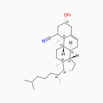 CC(C)CCC[C@@H](C)[C@H]1CC[C@H]2[C@@H]3CC=C4C[C@@H](O)CC(C#N)[C@]4(C)[C@H]3CC[C@]12C